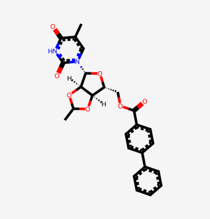 Cc1cn([C@@H]2O[C@H](COC(=O)c3ccc(-c4ccccc4)cc3)[C@H]3OC(C)O[C@H]32)c(=O)[nH]c1=O